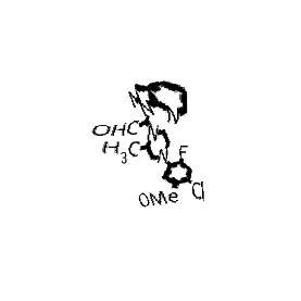 COc1cc(N2CCN(C(C=O)n3ncc4cccnc43)C(C)C2)c(F)cc1Cl